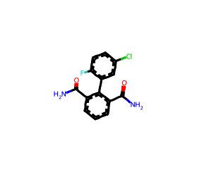 NC(=O)c1cccc(C(N)=O)c1-c1cc(Cl)ccc1F